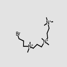 C[N+](C)(C)CCC[N+](C)(C)CCC[N+](C)(C)CCCBr